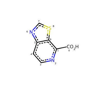 O=C(O)c1nccc2ncsc12